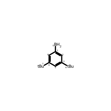 Bc1cc(C(C)(C)C)cc(C(C)(C)C)c1